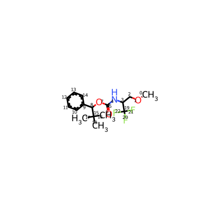 COCC(NC(=O)OC(c1ccccc1)C(C)(C)C)C(F)(F)F